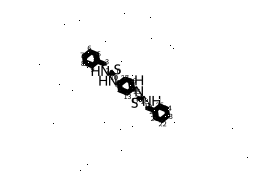 S=C(NCc1ccccc1)Nc1ccc(NC(=S)NCc2ccccc2)cc1